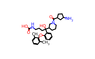 Cc1cccc(C)c1Oc1ccccc1C(O)(CCCNC(=O)O)C1CCCN(C(=O)C2CCC(N)C2)C1